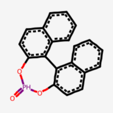 O=[PH]1Oc2ccc3ccccc3c2-c2c(ccc3ccccc23)O1